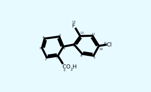 O=C(O)c1ccccc1-c1ccc(Cl)cc1F